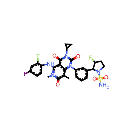 Cc1c(=O)n(C)c(Nc2ccc(I)cc2F)c2c(=O)n(C3CC3)c(=O)n(-c3cccc(C4C(F)CCN4S(N)(=O)=O)c3)c12